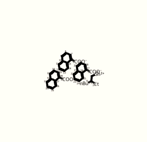 CCCCC(CC)[CH2][Sn+3].O=C([O-])c1cccc2ccccc12.O=C([O-])c1cccc2ccccc12.O=C([O-])c1cccc2ccccc12